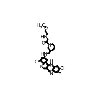 COCCNCC(=O)N1CCCC(CNc2cc(Cl)c3ncc(C#N)c(Nc4ccc(F)c(Cl)c4)c3c2)C1